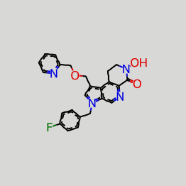 O=C1c2ncc3c(c(COCc4ccccn4)cn3Cc3ccc(F)cc3)c2CCN1O